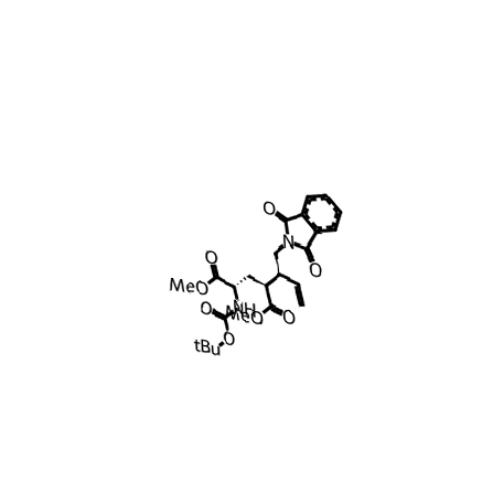 C=C[C@H](CN1C(=O)c2ccccc2C1=O)[C@H](C[C@H](NC(=O)OC(C)(C)C)C(=O)OC)C(=O)OC